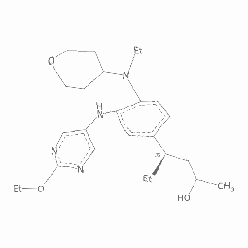 CCOc1ncc(Nc2cc([C@H](CC)CC(C)O)ccc2N(CC)C2CCOCC2)cn1